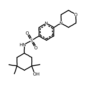 CC1(C)CC(NS(=O)(=O)c2ccc(N3CCOCC3)nc2)CC(C)(O)C1